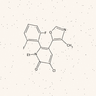 CCn1c(-c2c(F)cccc2F)c(-c2ocnc2C)cc(Cl)c1=O